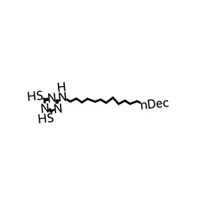 CCCCCCCCCCCCCCCCCCCCCCNc1nc(S)nc(S)n1